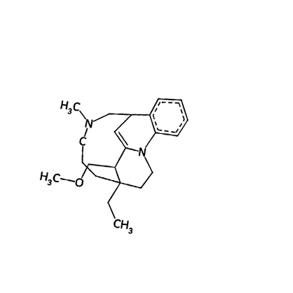 CCC12CCCN(C)CC3C=C(C1COC)N(CC2)c1ccccc13